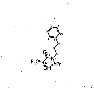 CCCN(CCCc1ccccc1)C(=O)C(O)C(F)(F)F